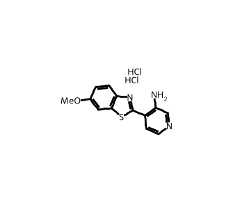 COc1ccc2nc(-c3ccncc3N)sc2c1.Cl.Cl